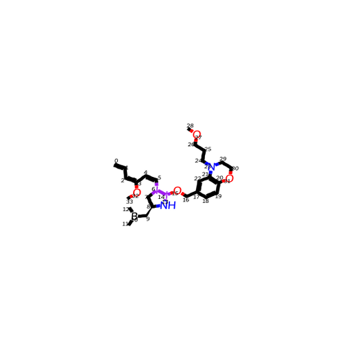 C=C/C=C(\C=C/I1C[C@H](CB(C)C)NI1OCc1ccc2c(c1)N(CCCOC)CCO2)OC